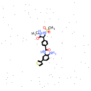 CNC(=O)C(CNS(C)(=O)=O)c1ccc(C(=O)Nc2cc(-c3ccsc3)ccc2N)cc1